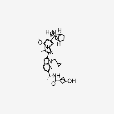 COc1cc(C(=O)N2[C@H]3CC[C@@H]2[C@H](N)C3)cc2nc(-c3cc4ccc([C@@H](C)NC(=O)C56CC(O)(C5)C6)nc4n3CC3CC3)c(C)n12